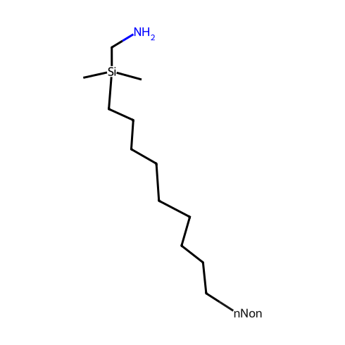 CCCCCCCCCCCCCCCCCC[Si](C)(C)CN